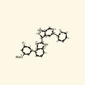 COc1cc(F)cc(-c2cccc3[nH]c(-c4n[nH]c5cnc(-c6ccccn6)cc45)nc23)c1